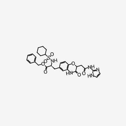 O=C(CC1Oc2ccc(C[C@H](NS(=O)(=O)C3CCCCC3)C(=O)OCc3ccccc3)cc2NC1=O)Nc1ncc[nH]1